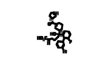 CCc1cccc(-c2c(F)cccc2[C@](O)(CCCNC(=O)O)[C@@H]2CCCN(C(=O)[C@@H]3CCNC3)C2)c1